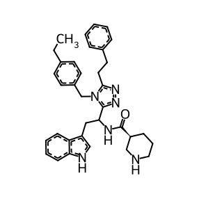 CCc1ccc(Cn2c(CCc3ccccc3)nnc2C(Cc2c[nH]c3ccccc23)NC(=O)[C@H]2CCCNC2)cc1